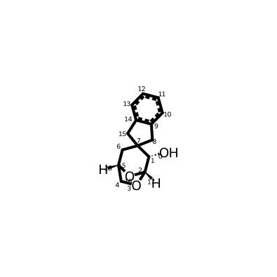 O[C@@H]1[C@@H]2OC[C@H](CC13Cc1ccccc1C3)O2